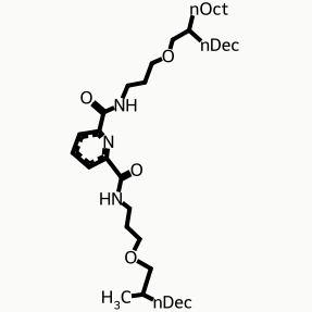 CCCCCCCCCCC(C)COCCCNC(=O)c1cccc(C(=O)NCCCOCC(CCCCCCCC)CCCCCCCCCC)n1